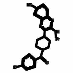 CC(C)Nc1nc2ccc(C#N)cc2nc1N1CCN(C(=O)c2ccc(Cl)cc2)CC1